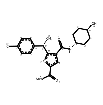 CNC(=O)c1cc(C(=O)N[C@H]2CC[C@H](O)CC2)c([C@@H](C)c2ccc(Cl)cc2)o1